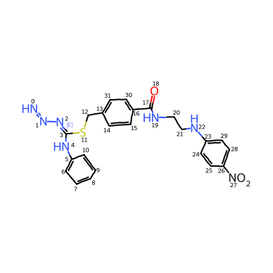 N=N/N=C(\Nc1ccccc1)SCc1ccc(C(=O)NCCNc2ccc([N+](=O)[O-])cc2)cc1